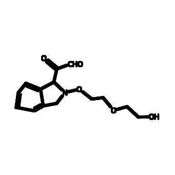 O=CC(=O)C1c2ccccc2CN1OCCOCCO